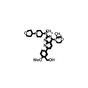 COc1ccc(-c2ccc3c(N4CCOC[C@@H]4C)nc(N(C)C4CCN(C5CCOCC5)CC4)nc3n2)cc1CO